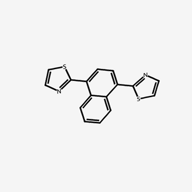 c1ccc2c(-c3nccs3)ccc(-c3nccs3)c2c1